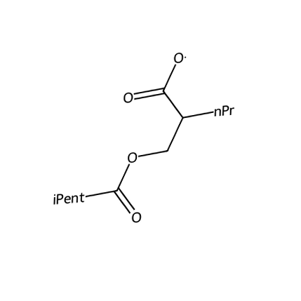 CCCC(C)C(=O)OCC(CCC)C([O])=O